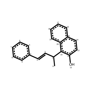 CC(/C=C/c1ccccc1)c1c(O)ccc2ccccc12